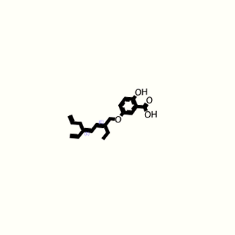 C=CC/C(C=C)=C\C=C(/CC)COc1ccc(O)c(C(=O)O)c1